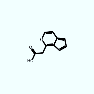 O=C(O)Cc1occc2cccc1-2